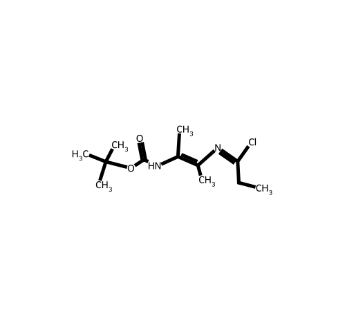 CC/C(Cl)=N\C(C)=C(/C)NC(=O)OC(C)(C)C